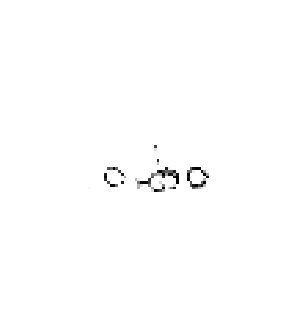 CCOC[C@]12CC3CC(C(=O)N[C@H]4CC[C@@H](N)CC4)C1CC[C@@](c1ccccc1)(C3)C2